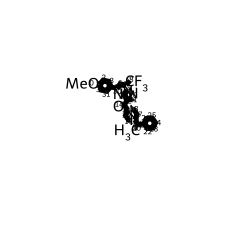 COc1ccc(-c2cc(C(F)(F)F)n3ncc(C(=O)N4CCN([C@H](C)c5ccccc5)CC4)c3n2)cc1